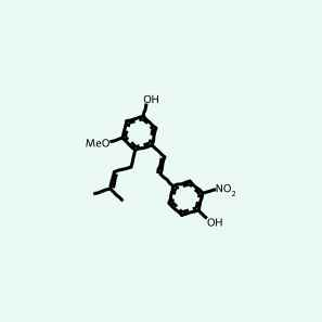 COc1cc(O)cc(C=Cc2ccc(O)c([N+](=O)[O-])c2)c1CC=C(C)C